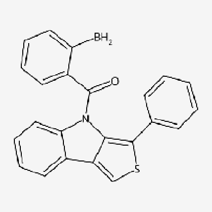 Bc1ccccc1C(=O)n1c2ccccc2c2csc(-c3ccccc3)c21